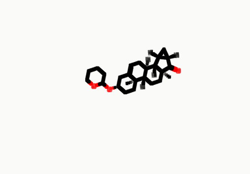 C[C@]12CC[C@H](OC3CCCCO3)CC1=CC[C@H]1[C@@H]3[C@@H]4C[C@@H]4C(=O)[C@@]3(C)CC[C@@H]12